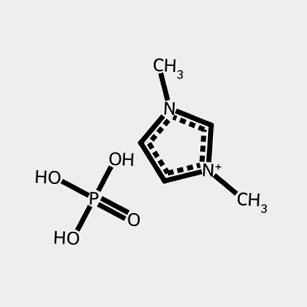 Cn1cc[n+](C)c1.O=P(O)(O)O